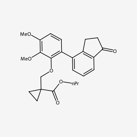 CCCOC(=O)C1(COc2c(-c3cccc4c3CCC4=O)ccc(OC)c2OC)CC1